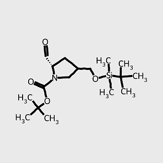 CC(C)(C)OC(=O)N1CC(CO[Si](C)(C)C(C)(C)C)C[C@H]1C=O